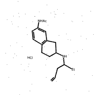 C=CCC(CC)NC1CCc2ccc(NC(C)=O)cc2C1.Cl